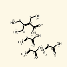 C=CC(=O)O.C=CC(=O)O.C=CC(=O)O.O=C(O)C(CO)=C(CO)CO